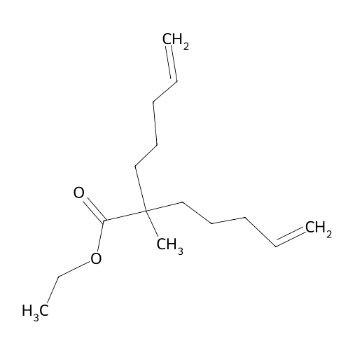 C=CCCCC(C)(CCCC=C)C(=O)OCC